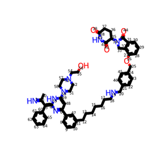 CC(=N)/C(=C1/N=C(c2cccc(CCCCCCCNCc3ccc(COc4cccc5c4CN(C4CCC(=O)NC4=O)C5=O)cc3)c2)C=C(N2CCN(CCO)CC2)N1)c1ccccc1